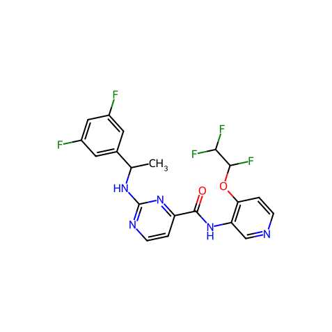 CC(Nc1nccc(C(=O)Nc2cnccc2OC(F)C(F)F)n1)c1cc(F)cc(F)c1